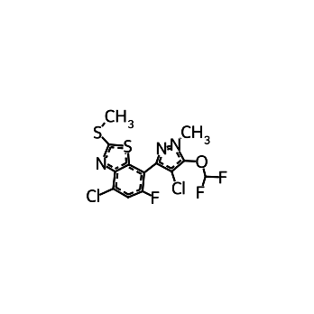 CSc1nc2c(Cl)cc(F)c(-c3nn(C)c(OC(F)F)c3Cl)c2s1